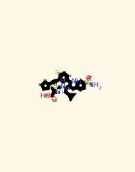 N=C(/C(Cc1ccc([S+](N)[O-])cc1)=C(/CC1CC1)Nc1nc(C(=O)O)cs1)c1ccc(F)c(C#CC2CCCC2)c1